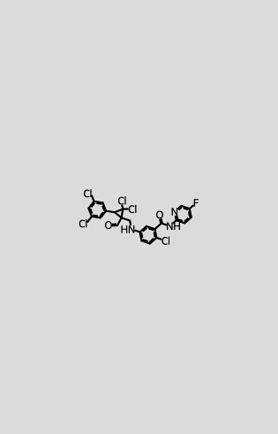 O=CC1(CNc2ccc(Cl)c(C(=O)Nc3ccc(F)cn3)c2)C(c2cc(Cl)cc(Cl)c2)C1(Cl)Cl